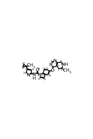 C[C@H]1Cc2c(ncnc2Oc2ccc3c(ccn3C(=O)NC3=NCC(C4(C)CC4)=C3)c2)CN1